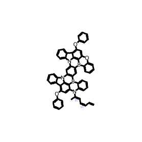 C=C/C=C\C=C(/C)N1c2ccccc2B2c3cc4c(cc3-n3c5ccccc5c5c(Oc6ccccc6)cc1c2c53)-n1c2ccccc2c2c(Oc3ccccc3)cc3c(c21)B4c1ccccc1O3